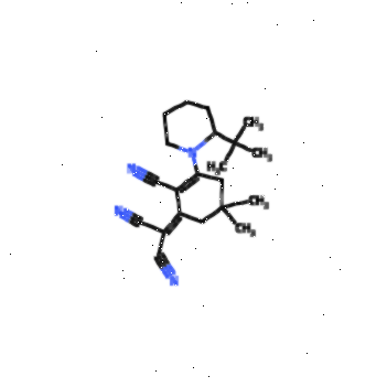 CC1(C)CC(=C(C#N)C#N)C(C#N)=C(N2CCCCC2C(C)(C)C)C1